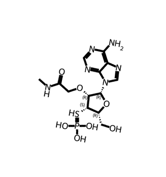 CNC(=O)CO[C@H]1[C@@H]([SH]=P(O)(O)O)[C@@H](CO)O[C@H]1n1cnc2c(N)ncnc21